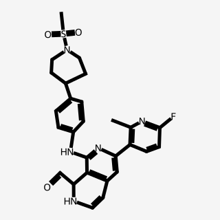 Cc1nc(F)ccc1-c1cc2c(c(Nc3ccc(C4CCN(S(C)(=O)=O)CC4)cc3)n1)C(C=O)NC=C2